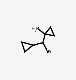 CC(C)C(C1CC1)C1(N)CC1